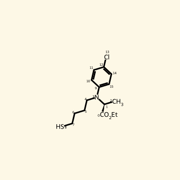 CCOC(=O)[C@H](C)N(CCCCS)c1ccc(Cl)cc1